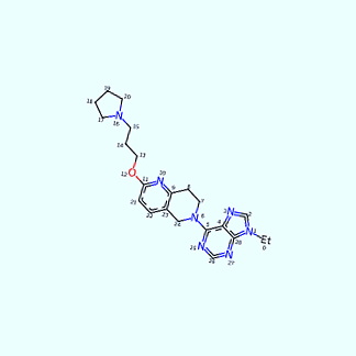 CCn1cnc2c(N3CCc4nc(OCCCN5CCCC5)ccc4C3)ncnc21